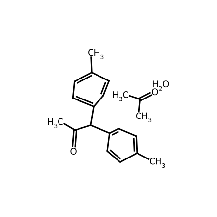 CC(=O)C(c1ccc(C)cc1)c1ccc(C)cc1.CC(C)=O.O